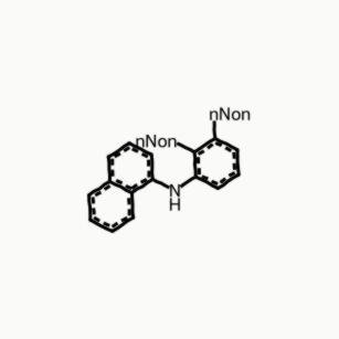 CCCCCCCCCc1cccc(Nc2cccc3ccccc23)c1CCCCCCCCC